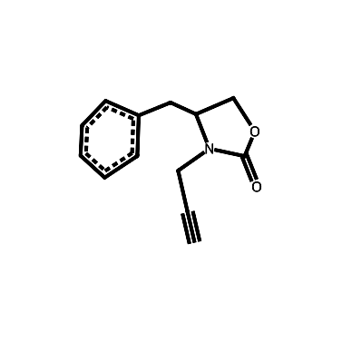 C#CCN1C(=O)OCC1Cc1ccccc1